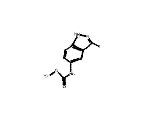 CC(C)(C)OC(=O)Nc1ccc2[nH]nc(I)c2c1